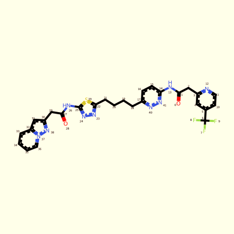 O=C(Cc1cc(C(F)(F)F)ccn1)Nc1ccc(CCCCc2nnc(NC(=O)Cc3cc4ccccn4n3)s2)nn1